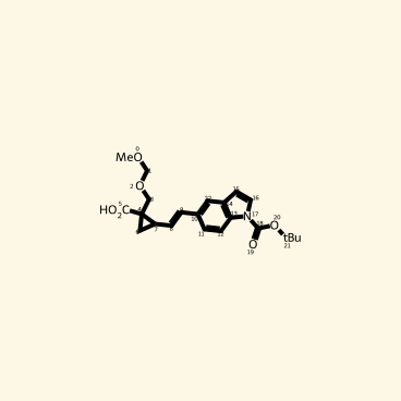 COCOCC1(C(=O)O)CC1/C=C/c1ccc2c(ccn2C(=O)OC(C)(C)C)c1